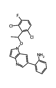 CC(On1ccc2ncc(-c3ccccc3N)cc21)c1c(Cl)ccc(F)c1Cl